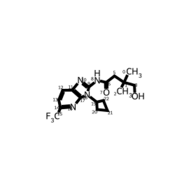 CC(C)(CO)CC(=O)Nc1nc2ccc(C(F)(F)F)nc2n1C1CCC1